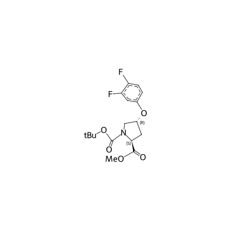 COC(=O)[C@@H]1C[C@@H](Oc2ccc(F)c(F)c2)CN1C(=O)OC(C)(C)C